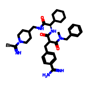 CCC(=N)N1CCC(CNC(=O)[C@@H](NC(=O)C(Cc2ccc(C(=N)N)cc2)C(=O)N(C)Cc2ccccc2)C2CCCCC2)CC1